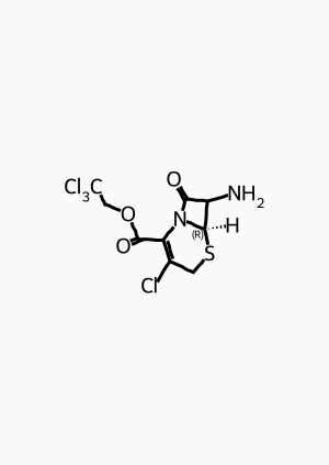 NC1C(=O)N2C(C(=O)OCC(Cl)(Cl)Cl)=C(Cl)CS[C@H]12